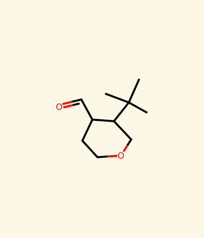 CC(C)(C)C1COCCC1C=O